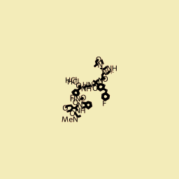 CNC(C)C(=O)NC(C(=O)N1Cc2ccccc2[C@H]1C(=O)Nc1cc(C(=O)NCCNC(=O)C2(C)CN(C(=O)CN3C[C@@H](C)NC[C@@H]3CN3CCOCC3C)c3cc(Cc4ccc(F)cc4)ccc32)ccc1F)C1CCOCC1.Cl.Cl